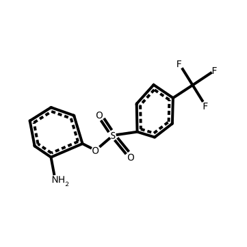 Nc1ccccc1OS(=O)(=O)c1ccc(C(F)(F)F)cc1